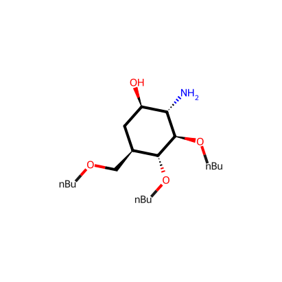 CCCCOC[C@H]1C[C@@H](O)[C@H](N)[C@@H](OCCCC)[C@@H]1OCCCC